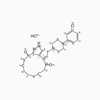 Cc1[nH]nc2c1/C(=C\CN1CCN(c3cccc(Cl)c3)CC1)C(=O)CCCCCCSC2=O.Cl